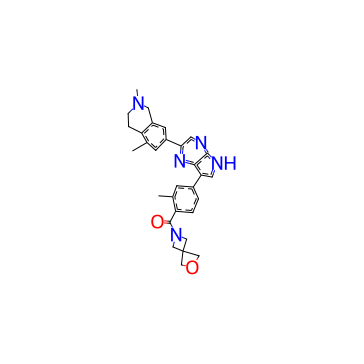 Cc1cc(-c2c[nH]c3ncc(-c4cc(C)c5c(c4)CN(C)CC5)nc23)ccc1C(=O)N1CC2(COC2)C1